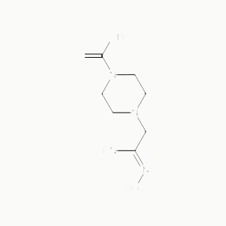 N/C(CN1CCN(C(=O)O)CC1)=N\O